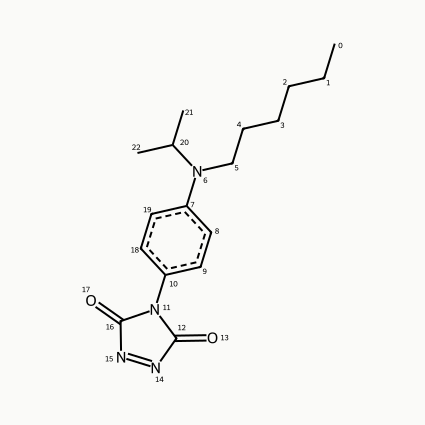 CCCCCCN(c1ccc(N2C(=O)N=NC2=O)cc1)C(C)C